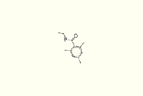 CC[P]C(=O)c1c(C)cc(C)cc1C